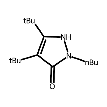 CCCCn1[nH]c(C(C)(C)C)c(C(C)(C)C)c1=O